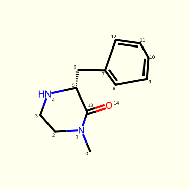 CN1CCN[C@H](Cc2ccccc2)C1=O